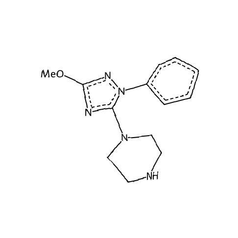 COc1nc(N2CCNCC2)n(-c2ccccc2)n1